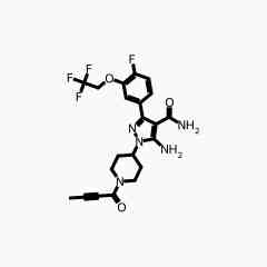 CC#CC(=O)N1CCC(n2nc(-c3ccc(F)c(OCC(F)(F)F)c3)c(C(N)=O)c2N)CC1